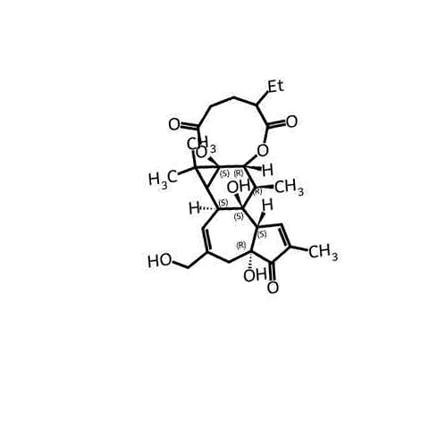 CCC1CCC(=O)O[C@]23C([C@@H]4C=C(CO)C[C@]5(O)C(=O)C(C)=C[C@H]5[C@@]4(O)[C@H](C)[C@H]2OC1=O)C3(C)C